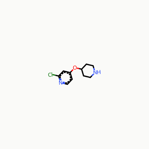 Clc1cc(OC2CCNCC2)ccn1